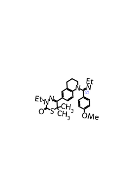 CC/N=C(/c1ccc(OC)cc1)N1CCCc2cc(C3=NN(CC)C(=O)SC3(C)C)ccc21